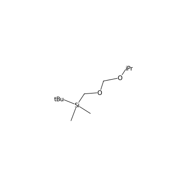 CC(C)OCOC[Si](C)(C)C(C)(C)C